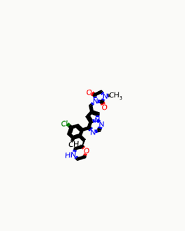 Cc1cc(Cl)cc(-c2ncnn3cc(CN4C(=O)CN(C)C4=O)cc23)c1C[C@@H]1CNCCO1